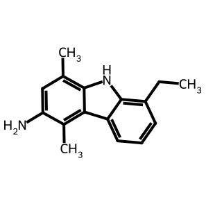 CCc1cccc2c1[nH]c1c(C)cc(N)c(C)c12